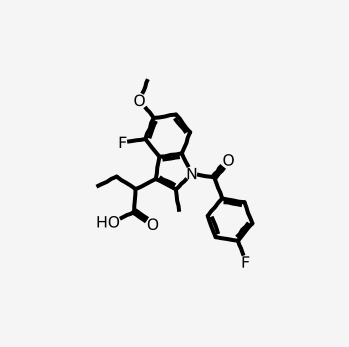 CCC(C(=O)O)c1c(C)n(C(=O)c2ccc(F)cc2)c2ccc(OC)c(F)c12